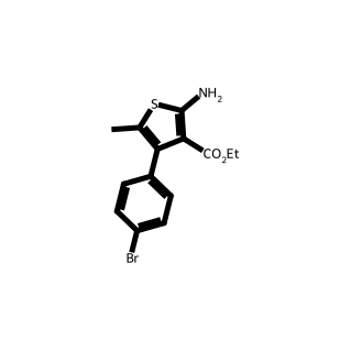 CCOC(=O)c1c(N)sc(C)c1-c1ccc(Br)cc1